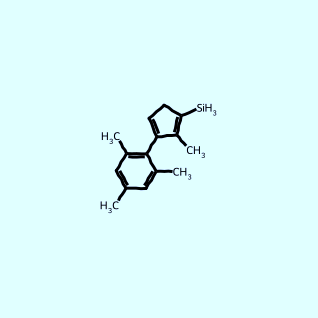 CC1=C([SiH3])CC=C1c1c(C)cc(C)cc1C